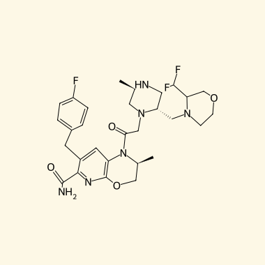 C[C@@H]1CN(CC(=O)N2c3cc(Cc4ccc(F)cc4)c(C(N)=O)nc3OC[C@@H]2C)[C@@H](CN2CCOCC2C(F)F)CN1